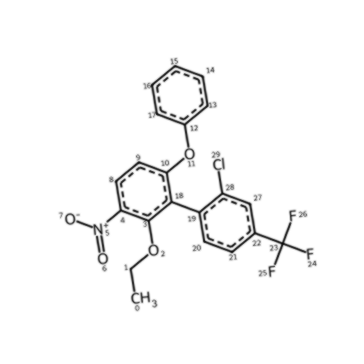 CCOc1c([N+](=O)[O-])ccc(Oc2ccccc2)c1-c1ccc(C(F)(F)F)cc1Cl